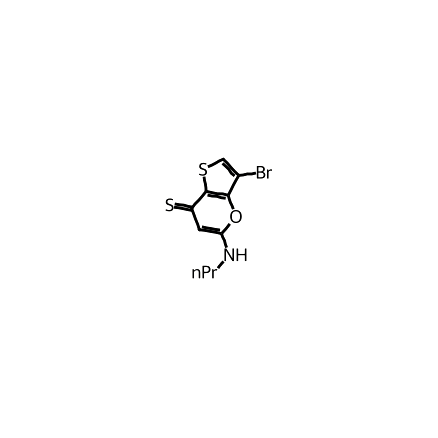 CCCNc1cc(=S)c2scc(Br)c2o1